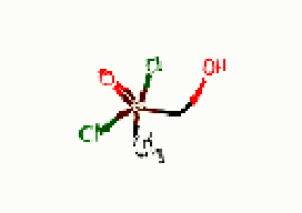 CS(=O)(Cl)(Cl)CO